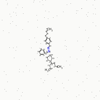 C=CCCc1ccc(C=NN=C(c2ccccc2)[C@H]2CC[C@H](C(CCC)CCC)CC2)cc1